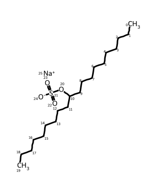 CCCCCCCCCCC(CCCCCCCCC)OS(=O)(=O)[O-].[Na+]